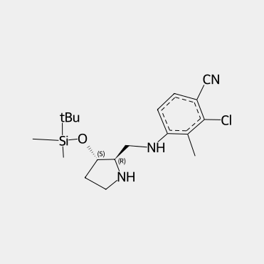 Cc1c(NC[C@H]2NCC[C@@H]2O[Si](C)(C)C(C)(C)C)ccc(C#N)c1Cl